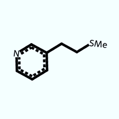 CSCCc1cccnc1